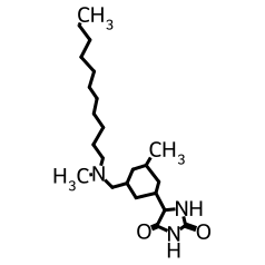 CCCCCCCCCCCN(C)CC1CC(C)CC(C2NC(=O)NC2=O)C1